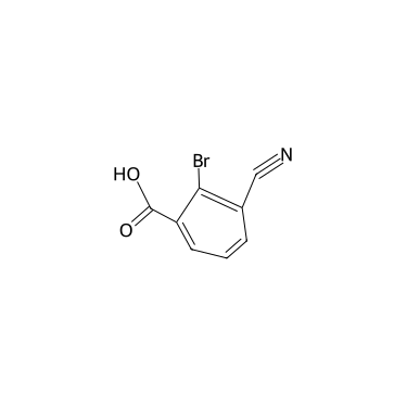 N#Cc1cccc(C(=O)O)c1Br